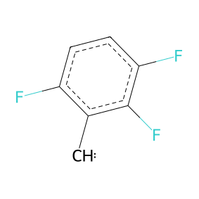 [CH]c1c(F)ccc(F)c1F